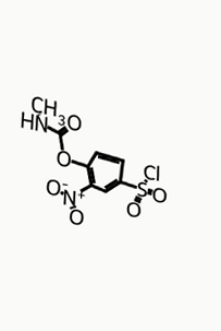 CNC(=O)Oc1ccc(S(=O)(=O)Cl)cc1[N+](=O)[O-]